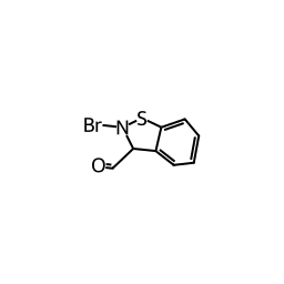 O=CC1c2ccccc2SN1Br